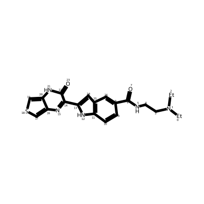 CCN(CC)CCNC(=O)c1ccc2[nH]c(-c3nc4cscc4[nH]c3=O)cc2c1